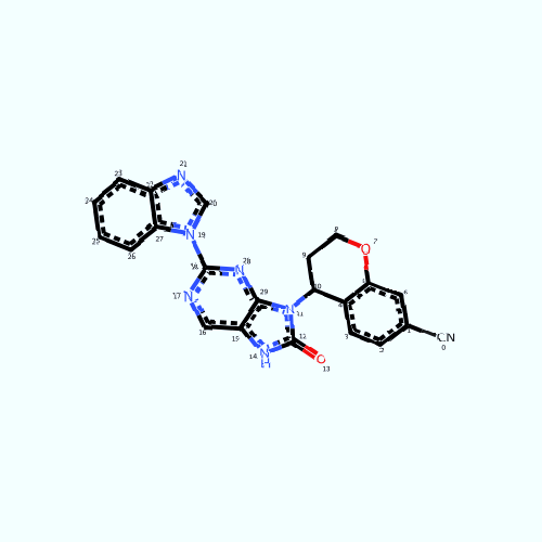 N#Cc1ccc2c(c1)OCCC2n1c(=O)[nH]c2cnc(-n3cnc4ccccc43)nc21